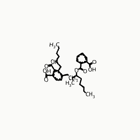 CCCCCC(CC)OC(=O)c1ccccc1C(=O)O.CCCCCCc1c(CC)ccc(C(=O)O)c1C(=O)O